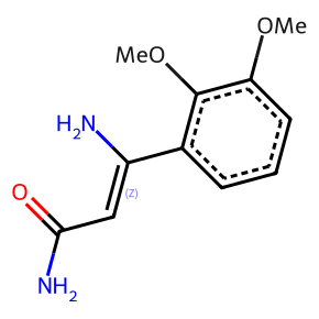 COc1cccc(/C(N)=C/C(N)=O)c1OC